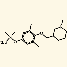 Cc1cc(O[Si](C)(C)C(C)(C)C)cc(C)c1OCC1CCCN(C)C1